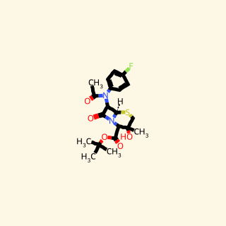 CC(=O)N(c1ccc(F)cc1)C1C(=O)N2C(C(=O)OC(C)(C)C)C(C)(O)CS[C@H]12